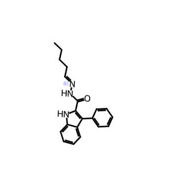 CCCC/C=N/NC(=O)c1[nH]c2ccccc2c1-c1ccccc1